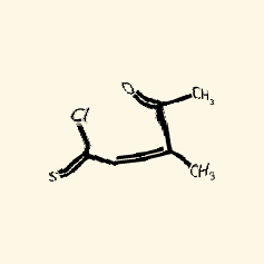 CC(=O)/C(C)=C\C(=S)Cl